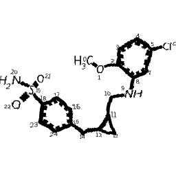 COc1ccc(Cl)cc1NCC1CC1Cc1ccc(S(N)(=O)=O)cc1